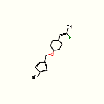 CCCc1ccc(COC2CCC(C=C(F)C#N)CC2)cc1